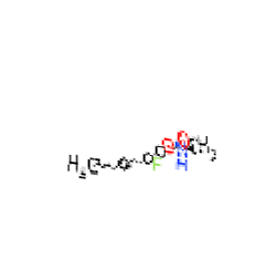 C=CC(=O)NCCOc1ccc(-c2ccc(CCc3ccc(CCCCC)cc3)cc2F)cc1